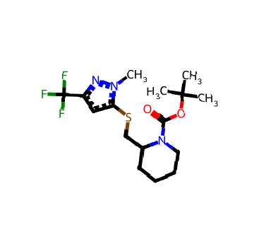 Cn1nc(C(F)(F)F)cc1SCC1CCCCN1C(=O)OC(C)(C)C